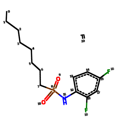 CCCCCCCCS(=O)(=O)Nc1ccc(F)[c]c1F.[Ti]